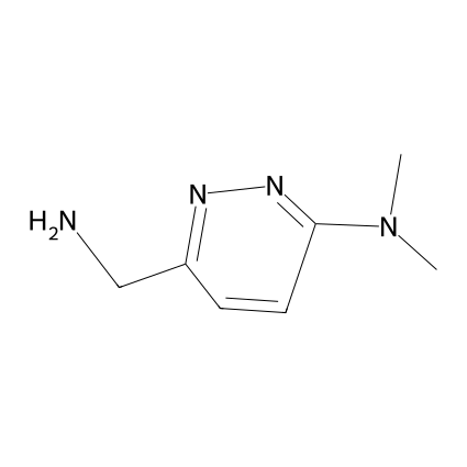 CN(C)c1ccc(CN)nn1